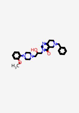 COc1ccccc1N1CCN(CC(O)Cn2cnc3c(c2=O)CN(Cc2ccccc2)CC3)CC1